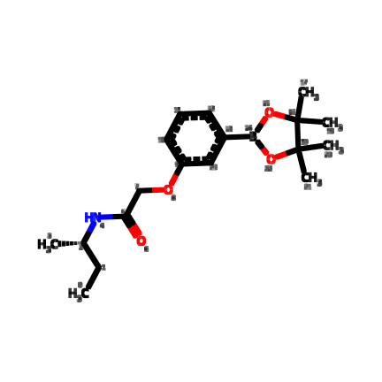 CC[C@H](C)NC(=O)COc1cccc(B2OC(C)(C)C(C)(C)O2)c1